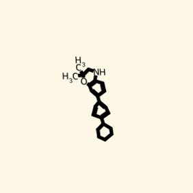 CC1(C)CNc2ccc(-c3ccc(C4CCCCC4)cc3)cc2O1